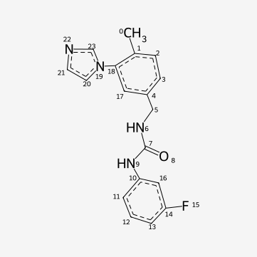 Cc1ccc(CNC(=O)Nc2cccc(F)c2)cc1-n1ccnc1